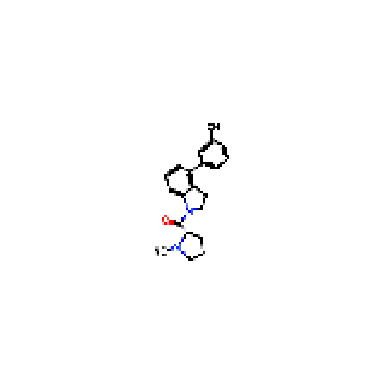 N#Cc1cccc(-c2cccc3c2CCN3C(=O)[C@@H]2CCCN2C#N)c1